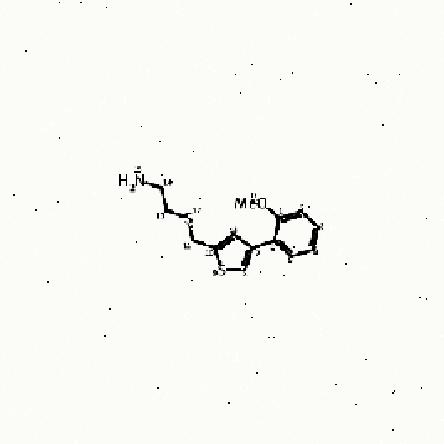 COc1ccccc1-c1csc(CSCCN)c1